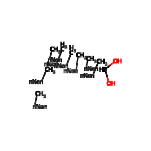 CCCCCCCCCC.CCCCCCCCCC.CCCCCCCCCC.CCCCCCCCCC.CCCCCCCCCC.CCCCCCCCCC.CCCCCCCCCC.CCCCCCCCCC.OBO